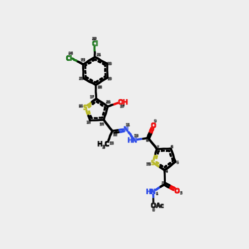 CC(=O)ONC(=O)c1ccc(C(=O)NN=C(C)c2csc(-c3ccc(Cl)c(Cl)c3)c2O)s1